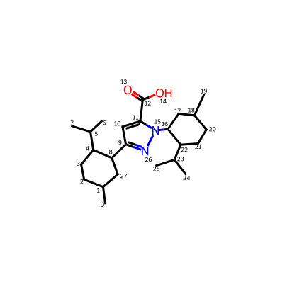 CC1CCC(C(C)C)C(c2cc(C(=O)O)n(C3CC(C)CCC3C(C)C)n2)C1